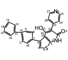 O=c1[nH]c2scc(-c3ccc(-c4ccccc4)cc3)c2c(O)c1-c1ccncc1